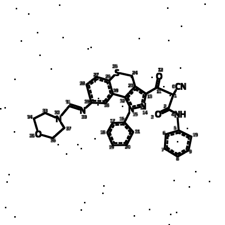 N#CC(C(=O)Nc1ccccc1)C(=O)c1nn(-c2ccccc2)c2c1CSc1ccc(N=CN3CCOCC3)cc1-2